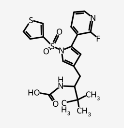 CC(C)(C)C(Cc1cc(-c2cccnc2F)n(S(=O)(=O)c2ccsc2)c1)NC(=O)O